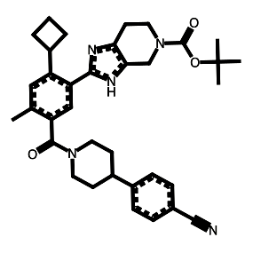 Cc1cc(C2CCC2)c(-c2nc3c([nH]2)CN(C(=O)OC(C)(C)C)CC3)cc1C(=O)N1CCC(c2ccc(C#N)cc2)CC1